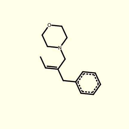 CC=C(Cc1ccccc1)CN1CCOCC1